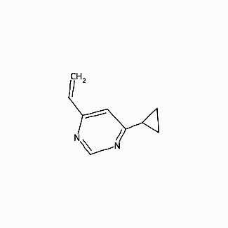 C=Cc1cc(C2CC2)ncn1